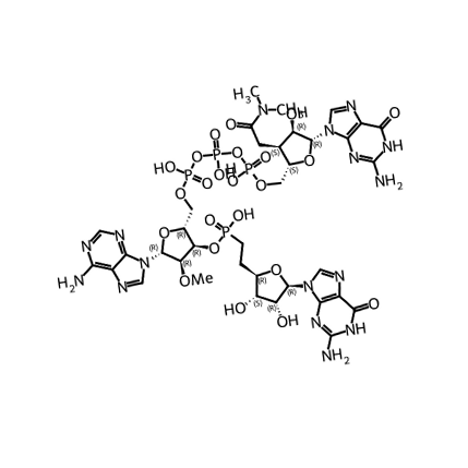 CO[C@@H]1[C@H](OP(=O)(O)CC[C@H]2O[C@@H](n3cnc4c(=O)[nH]c(N)nc43)[C@H](O)[C@@H]2O)[C@@H](COP(=O)(O)OP(=O)(O)OP(=O)(O)OC[C@H]2O[C@@H](n3cnc4c(=O)[nH]c(N)nc43)[C@H](O)[C@@H]2CC(=O)N(C)C)O[C@H]1n1cnc2c(N)ncnc21